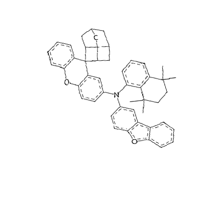 CC1(C)CCC(C)(C)c2c(N(c3ccc4c(c3)C3(c5ccccc5O4)C4CC5CC6CC3C64C5)c3ccc4oc5ccccc5c4c3)cccc21